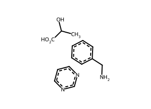 CC(O)C(=O)O.NCc1ccccc1.c1cncnc1